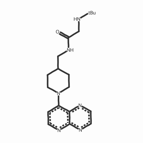 CC(C)(C)NCC(=O)NCC1CCN(c2ccnc3nccnc23)CC1